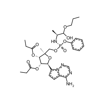 CCCOC(O)[C@H](C)N[P@](=O)(OC[C@@]1(C)O[C@@H](c2ccc3c(N)ncnn23)[C@H](OC(=O)CC)[C@@H]1OC(=O)CC)Oc1ccccc1